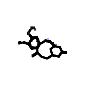 C=C1CC2CCC(=O)c3cc(OC)c(ON)cc3/N=C\[C@H](C1)C2